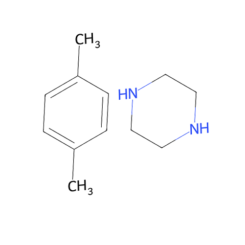 C1CNCCN1.Cc1ccc(C)cc1